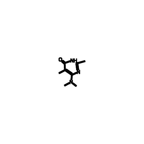 Cc1nc(N(C)C)c(C)c(=O)[nH]1